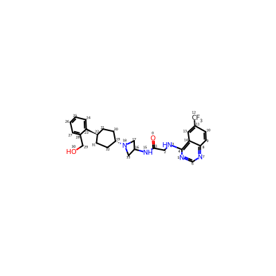 O=C(CNc1ncnc2ccc(C(F)(F)F)cc12)NC1CN([C@H]2CC[C@H](c3ccccc3CO)CC2)C1